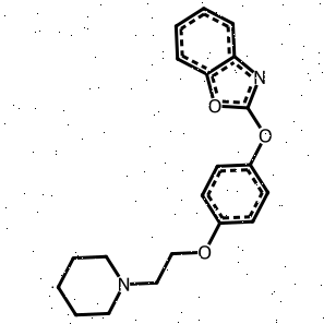 [CH]1CCN(CCOc2ccc(Oc3nc4ccccc4o3)cc2)CC1